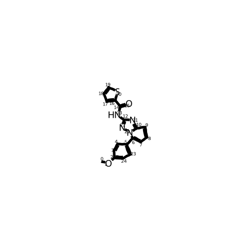 COc1ccc(-c2cccc3nc(NC(=O)c4cccs4)nn23)cc1